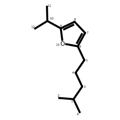 CC(C)CCCc1ccc(C(C)C)o1